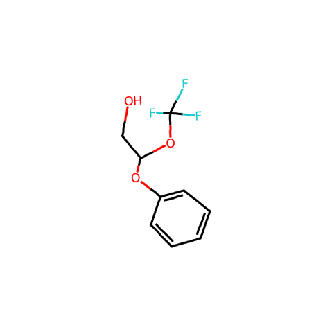 OCC(Oc1ccccc1)OC(F)(F)F